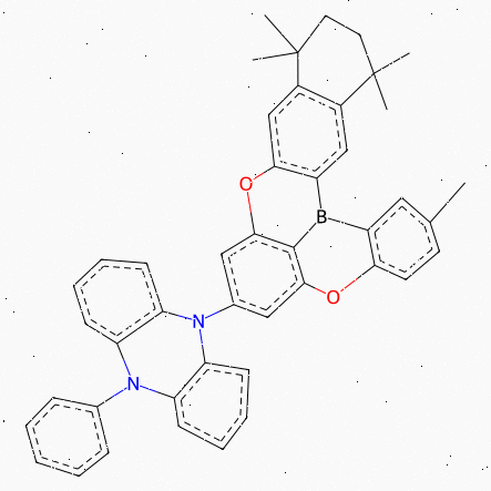 Cc1ccc2c(c1)B1c3cc4c(cc3Oc3cc(N5c6ccccc6N(c6ccccc6)c6ccccc65)cc(c31)O2)C(C)(C)CCC4(C)C